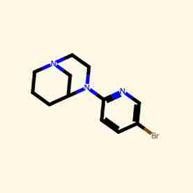 Brc1ccc(N2CCN3CCCC2C3)nc1